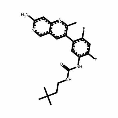 Cc1nc2cc(N)ncc2cc1-c1cc(NC(=O)NCCC(C)(C)C)c(F)cc1F